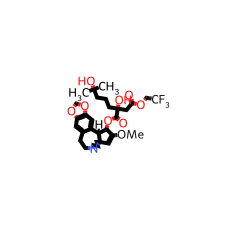 COC1=CC23CCCN2CCc2cc4c(cc2[C@@H]3C1OC(=O)C(O)(CCCC(C)(C)O)CC(=O)OCC(F)(F)F)OCO4